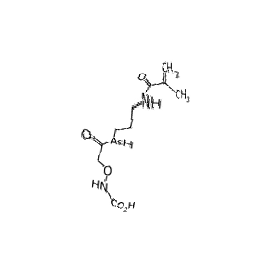 C=C(C)C(=O)NCCC[AsH]C(=O)CONC(=O)O